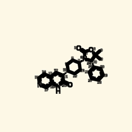 CC1(C)OC(=O)N([C@H]2CC[C@@H](c3cc4ccncc4[nH]c3=O)CC2)[C@H]1c1ccccc1